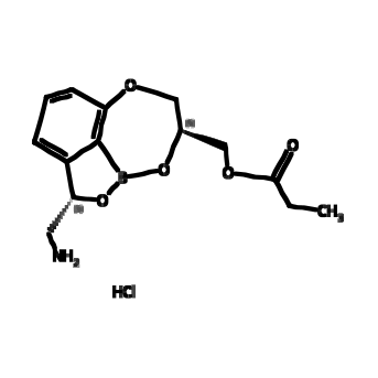 CCC(=O)OC[C@@H]1COc2cccc3c2B(O1)O[C@@H]3CN.Cl